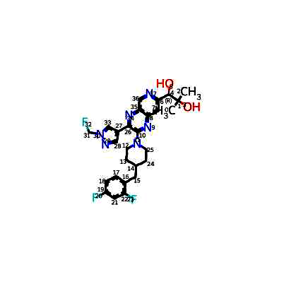 CC(C)(O)[C@H](O)c1cc2nc(N3CCC(Cc4ccc(F)cc4F)CC3)c(-c3cnn(CF)c3)nc2cn1